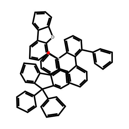 c1ccc(-c2ccccc2-c2c(-c3ccccc3)cccc2N(c2cccc3c2-c2ccccc2C3(c2ccccc2)c2ccccc2)c2cccc3c2oc2ccccc23)cc1